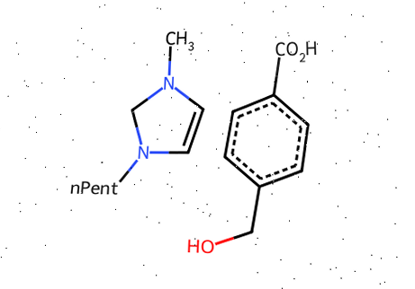 CCCCCN1C=CN(C)C1.O=C(O)c1ccc(CO)cc1